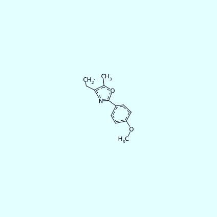 [CH2]Cc1nc(-c2ccc(OC)cc2)oc1C